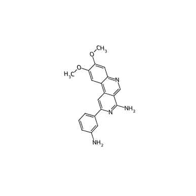 COc1cc2ncc3c(N)nc(-c4cccc(N)c4)cc3c2cc1OC